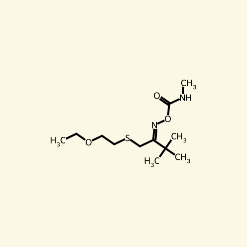 CCOCCSCC(=NOC(=O)NC)C(C)(C)C